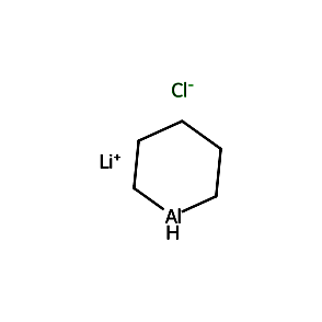 C1C[CH2][AlH][CH2]C1.[Cl-].[Li+]